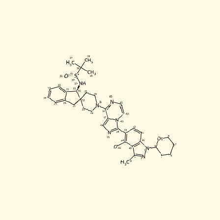 Cc1nn(C2CCCCO2)c2ccc(-c3ncc4c(N5CCC6(CC5)Cc5ccccc5[C@H]6N[S@+]([O-])C(C)(C)C)nccn34)c(Cl)c12